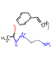 C=Cc1ccccc1.CC(=O)NNCCN